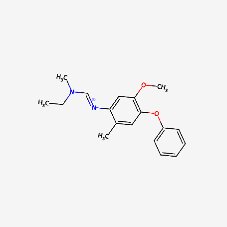 CCN(C)/C=N/c1cc(OC)c(Oc2ccccc2)cc1C